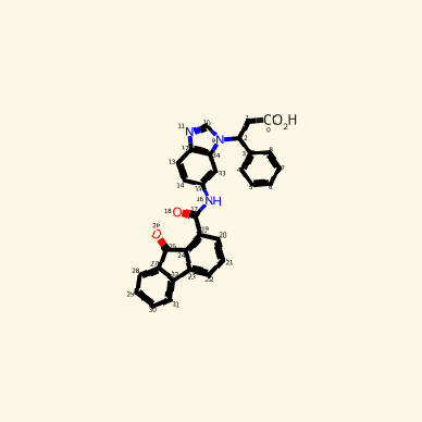 O=C(O)CC(c1ccccc1)n1cnc2ccc(NC(=O)c3cccc4c3C(=O)c3ccccc3-4)cc21